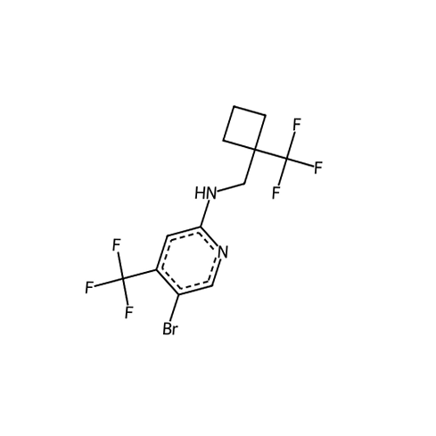 FC(F)(F)c1cc(NCC2(C(F)(F)F)CCC2)ncc1Br